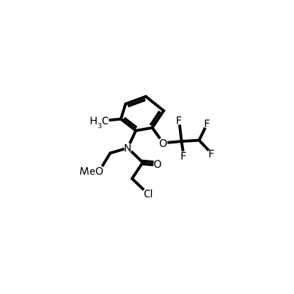 COCN(C(=O)CCl)c1c(C)cccc1OC(F)(F)C(F)F